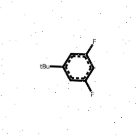 CC(C)(C)c1cc(F)[c]c(F)c1